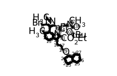 CCCc1nn(C)c(CBr)c1-c1c(C)ccc2c(CCCOc3cccc4ccccc34)c(C(=O)OCC)n(CCCN(C)C(=O)OC(C)(C)C)c12